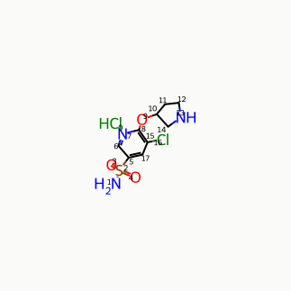 Cl.NS(=O)(=O)c1cnc(OC2CCNC2)c(Cl)c1